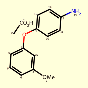 CC(=O)O.COc1cccc(Oc2ccc(N)cc2)c1